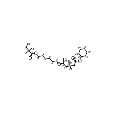 CCC(C)(C)C(=O)OCCCCCCOC(=O)CC(F)(F)CC(=O)OC1CCCCC1